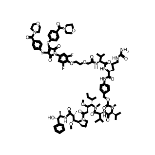 CCC(C)[C@@H]([C@@H](CC(=O)N1CCC[C@H]1[C@H](OC)[C@@H](C)C(=O)N[C@H](C)[C@@H](O)c1ccccc1)OC)N(C)C(=O)[C@@H](NC(=O)[C@H](C(C)C)N(C)C(=O)OCc1ccc(NC(=O)[C@H](CCCNC(N)=O)NC(=O)[C@@H](NC(=O)COCCOc2c(F)cc(N3C(=O)C(Sc4ccc(C(=O)N5CCOCC5)cc4)=C(Sc4ccc(C(=O)N5CCOCC5)cc4)C3=O)cc2F)C(C)C)cc1)C(C)C